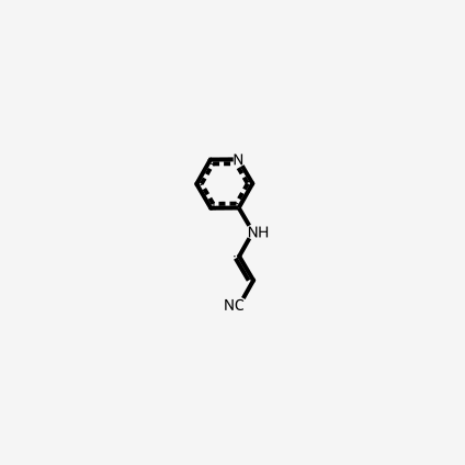 N#C/C=[C]/Nc1cccnc1